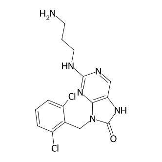 NCCCNc1ncc2[nH]c(=O)n(Cc3c(Cl)cccc3Cl)c2n1